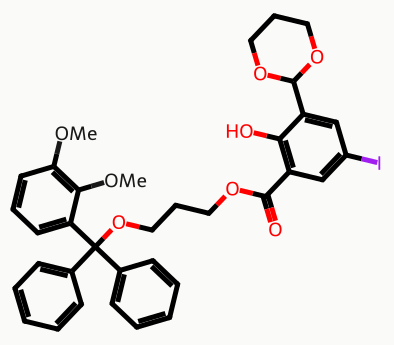 COc1cccc(C(OCCCOC(=O)c2cc(I)cc(C3OCCCO3)c2O)(c2ccccc2)c2ccccc2)c1OC